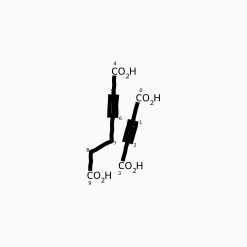 O=C(O)C#CC(=O)O.O=C(O)C#CCCC(=O)O